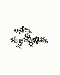 CC(C)(C)NC(=O)[C@@H]1CN(Cc2cccnc2)CCN1C[C@@H](O)C[C@@H](Cc1ccccc1)C(=O)N[C@H]1c2ccccc2C[C@H]1O.Nc1nc(=O)n([C@@H]2CS[C@H](CO)O2)cc1F.O=c1[nH]cnc2c1ncn2[C@H]1CC[C@@H](CO)O1